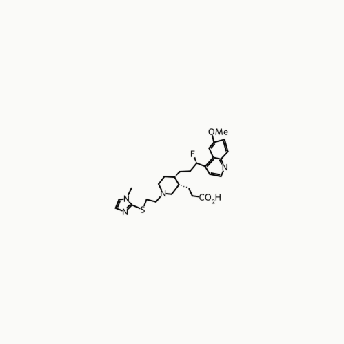 COc1ccc2nccc([C@H](F)CC[C@@H]3CCN(CCSc4nccn4C)C[C@H]3CCC(=O)O)c2c1